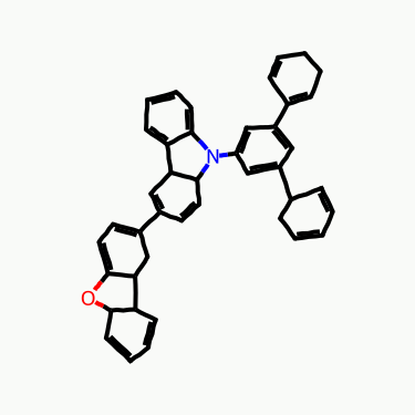 C1=CCC(c2cc(C3=CCCC=C3)cc(N3c4ccccc4C4C=C(C5=CC=C6OC7C=CC=CC7C6C5)C=CC43)c2)C=C1